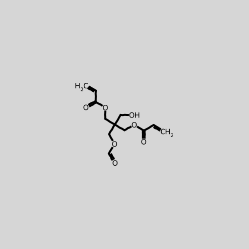 C=CC(=O)OCC(CO)(COC=O)COC(=O)C=C